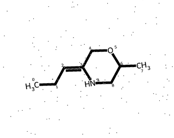 CC/C=C1/COC(C)CN1